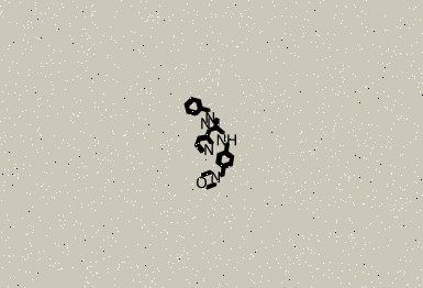 c1ccc(Cn2cc(CNCc3ccc(CN4CCOCC4)cc3)c(-c3cccnc3)n2)cc1